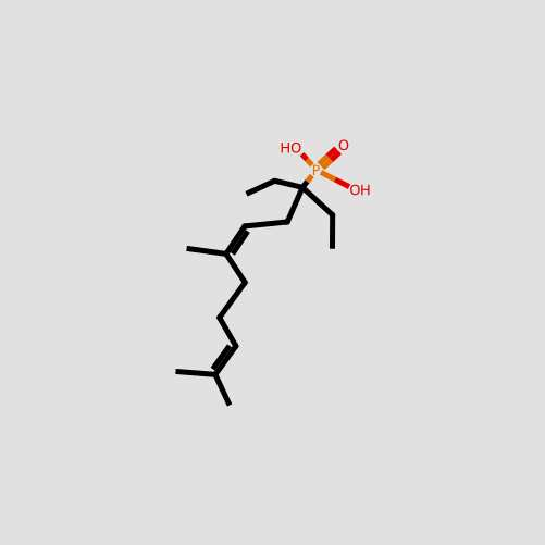 CCC(CC)(CC=C(C)CCC=C(C)C)P(=O)(O)O